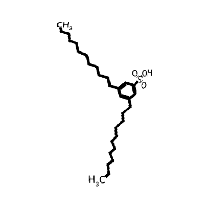 CCCCCCCCCCCCc1cc(CCCCCCCCCCCC)cc(S(=O)(=O)O)c1